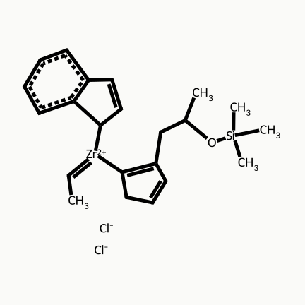 C[CH]=[Zr+2]([C]1=C(CC(C)O[Si](C)(C)C)C=CC1)[CH]1C=Cc2ccccc21.[Cl-].[Cl-]